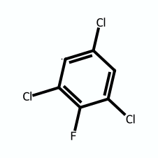 Fc1c(Cl)[c]c(Cl)cc1Cl